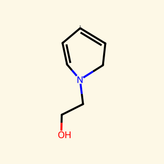 OCCN1C=C[C]=CC1